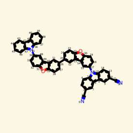 N#Cc1ccc2c(c1)c1cc(C#N)ccc1n2-c1ccc2oc3ccc(-c4ccc5oc6ccc(-n7c8ccccc8c8ccccc87)cc6c5c4)cc3c2c1